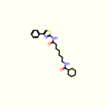 O=C(CCCCCCNC(=O)C1CCCCC1)Nc1nc(-c2ccccc2)cs1